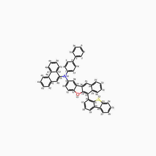 c1ccc(-c2ccc(N(c3ccc4oc5c(-c6cccc7c6sc6ccccc67)c6ccccc6cc5c4c3)c3cc4ccccc4c4ccccc34)cc2)cc1